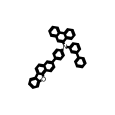 c1ccc(-c2cccc(N(c3ccc(-c4ccc5c(ccc6c7ccccc7oc56)c4)cc3)c3cc4ccccc4c4ccccc34)c2)cc1